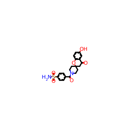 NS(=O)(=O)c1ccc(C(=O)N2CCC3(CC2)CC(=O)c2cc(O)ccc2O3)cc1